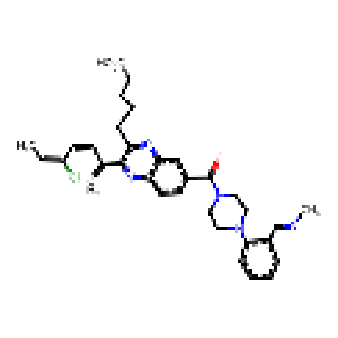 C=C(/C=C\C(Cl)=C/C)c1nc2ccc(C(=O)N3CCN(c4ccccc4/C=N/C)CC3)cc2nc1CCCCC(=O)O